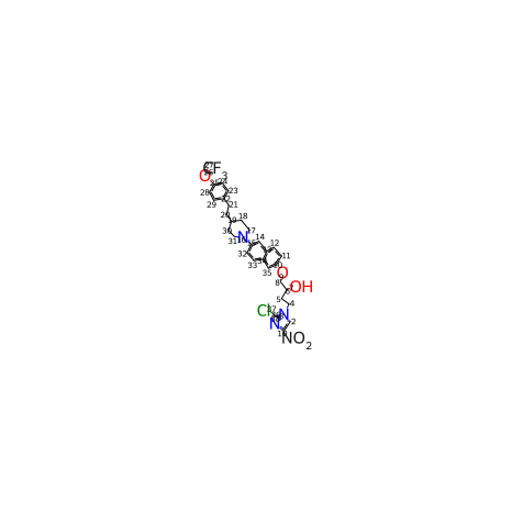 O=[N+]([O-])c1cn(CCC(O)COc2ccc3cc(N4CCC(CCc5ccc(OC(F)(F)F)cc5)CC4)ccc3c2)c(Cl)n1